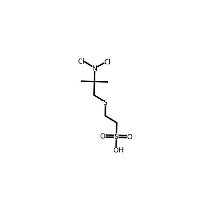 CC(C)(CSCCS(=O)(=O)O)N(Cl)Cl